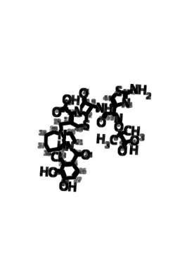 CC(C)(O/N=C(\C(=O)NC1C(=O)N2C(C(=O)O)=C(C[N+]3(CCNC(=O)c4ccc(O)c(O)c4Cl)CCCCCC3)CSC12)c1csc(N)n1)C(=O)O